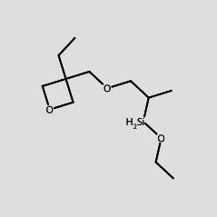 CCO[SiH2]C(C)COCC1(CC)COC1